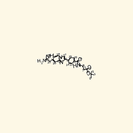 CC(C)(C)OC(=O)CCNC(=O)c1ccc(-c2cn3ccc(CC(=N)N)cc3n2)cc1